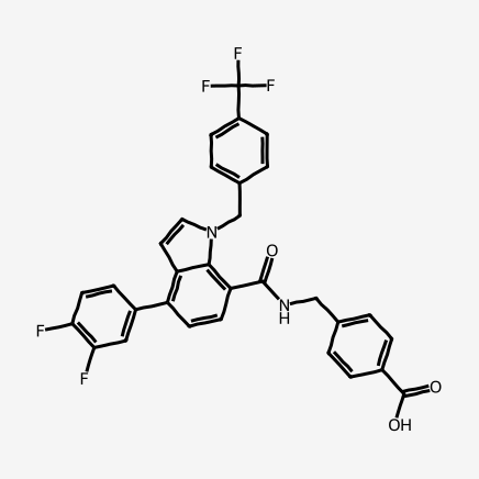 O=C(O)c1ccc(CNC(=O)c2ccc(-c3ccc(F)c(F)c3)c3ccn(Cc4ccc(C(F)(F)F)cc4)c23)cc1